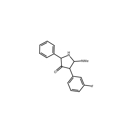 CNC1NC(c2ccccc2)C(=O)C1c1cccc(F)c1